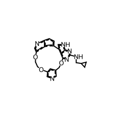 c1ncc2cc1COc1nc(NCC3CC3)nc3[nH]cc(c13)-c1ccc3ncc(cc3c1)OCCO2